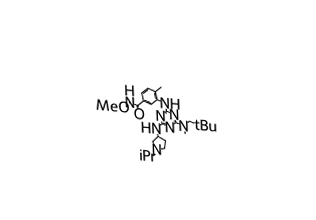 CONC(=O)c1ccc(C)c(Nc2nc(N[C@H]3CCN(C(C)C)C3)nc(N(C)CC(C)(C)C)n2)c1